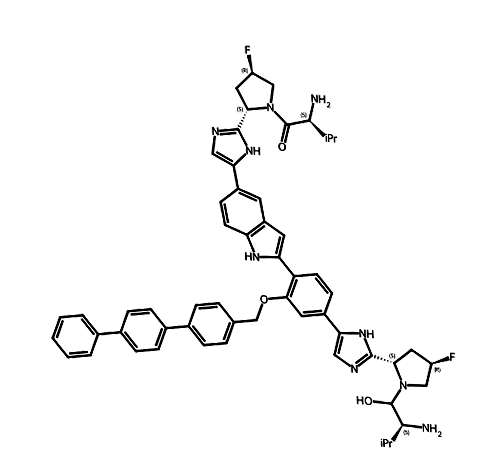 CC(C)[C@H](N)C(O)N1C[C@H](F)C[C@H]1c1ncc(-c2ccc(-c3cc4cc(-c5cnc([C@@H]6C[C@@H](F)CN6C(=O)[C@@H](N)C(C)C)[nH]5)ccc4[nH]3)c(OCc3ccc(-c4ccc(-c5ccccc5)cc4)cc3)c2)[nH]1